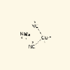 N#[C][Cu-2][C]#N.[Na+].[Na+]